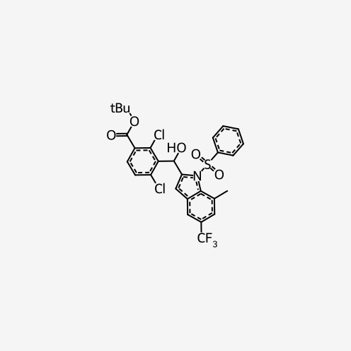 Cc1cc(C(F)(F)F)cc2cc(C(O)c3c(Cl)ccc(C(=O)OC(C)(C)C)c3Cl)n(S(=O)(=O)c3ccccc3)c12